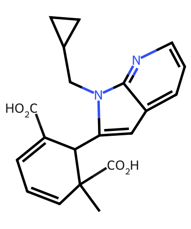 CC1(C(=O)O)C=CC=C(C(=O)O)C1c1cc2cccnc2n1CC1CC1